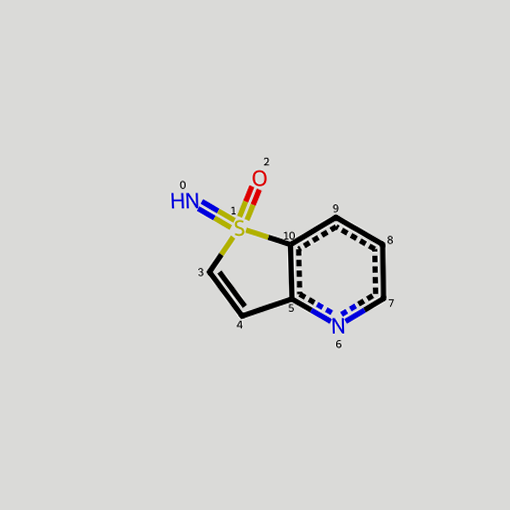 N=S1(=O)C=Cc2ncccc21